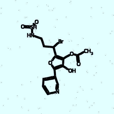 CC(=O)Oc1c(C(Br)CCN[SH](=O)=O)oc(-c2cccnc2)c1O